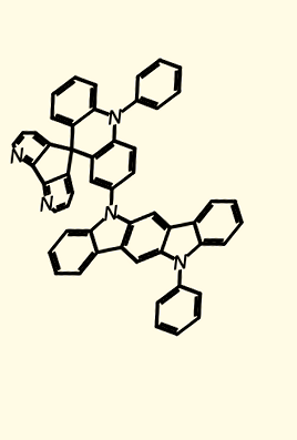 c1ccc(N2c3ccccc3C3(c4cc(-n5c6ccccc6c6cc7c(cc65)c5ccccc5n7-c5ccccc5)ccc42)c2cccnc2-c2ncccc23)cc1